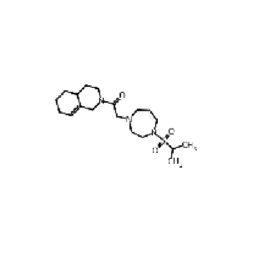 CC(C)S(=O)(=O)N1CCCN(CC(=O)N2CCC3CCCC=C3C2)CC1